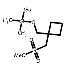 COS(=O)(=O)CC1(CO[Si](C)(C)C(C)(C)C)CCC1